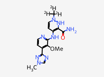 [2H]C([2H])([2H])N1C=CC(Nc2nccc(-c3ncn(C)n3)c2OC)=C(C(N)=O)N1